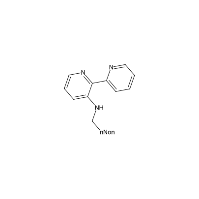 CCCCCCCCCCNc1cccnc1-c1ccccn1